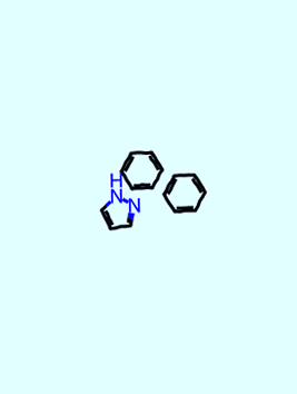 c1ccccc1.c1ccccc1.c1cn[nH]c1